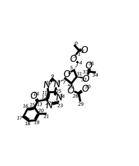 CC(=O)OC[C@H]1O[C@@H](n2cnc3c(C(=O)c4ccccc4C)ncnc32)[C@H](OC(C)=O)[C@@H]1OC(C)=O